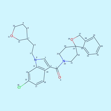 O=C(c1cn(CCC2CCCOC2)c2cc(Cl)ccc12)N1CCC2(CC1)OCc1ccccc12